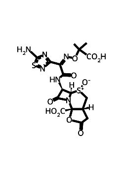 CC(C)(O/N=C(\C(=O)N[C@@H]1C(=O)N2[C@@H]1[S@@+]([O-])C[C@@H]1CC(=O)O[C@@]12C(=O)O)c1nsc(N)n1)C(=O)O